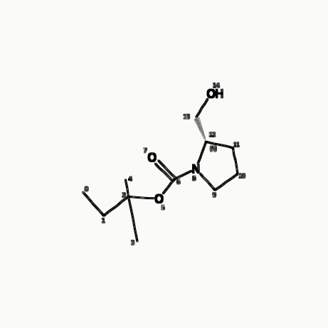 CCC(C)(C)OC(=O)N1CCC[C@H]1CO